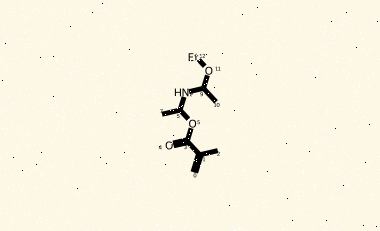 C=C(C)C(=O)OC(C)NC(C)OCC